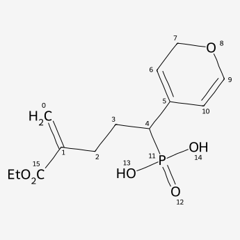 C=C(CCC(C1=CCOC=C1)P(=O)(O)O)C(=O)OCC